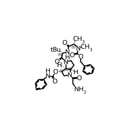 C[C@@H](C(=O)N[C@H](C(=O)N1CC[C@@H]2[C@H]1[C@@H](OC(=O)Nc1ccccc1)CN2C(=O)CN)C(C)(C)C)N(C)C(=O)OCc1ccccc1